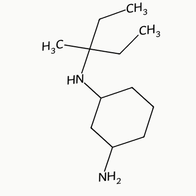 CCC(C)(CC)NC1CCCC(N)C1